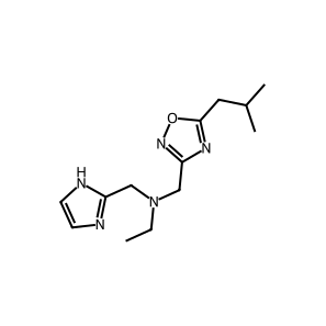 CCN(Cc1noc(CC(C)C)n1)Cc1ncc[nH]1